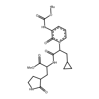 COC(=O)C(CC1CCNC1=O)NC(=O)C(CC1CC1)n1cccc(NC(=O)OC(C)(C)C)c1=O